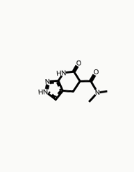 CN(C)C(=O)C1Cc2c[nH]nc2NC1=O